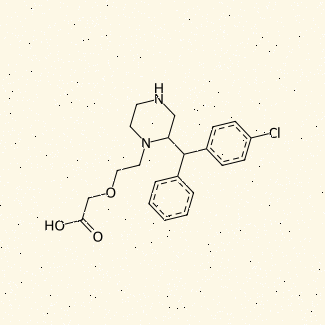 O=C(O)COCCN1CCNCC1C(c1ccccc1)c1ccc(Cl)cc1